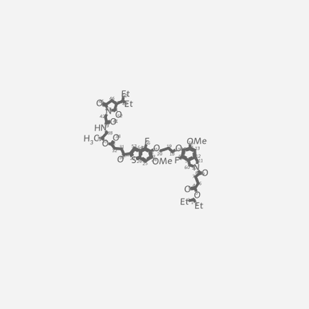 CCC(CC)OC(=O)CCC(=O)N1Cc2cc(OC)c(OCCCOc3c(OC)cc4sc(C(=O)CCC(=O)O[C@H](C)CNC(=O)CN5C(=O)CC(C(CC)CC)C5=O)cc4c3F)c(F)c2C1